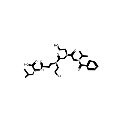 CC(C)C[C@H](NC(=O)CCN(CCO)C(=O)CN(CCO)C(=O)CN(C(=O)c1ccccc1)C(C)C)C(=O)O